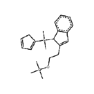 C[Si](C)(C)OCCC1=Cc2ccccc2C1[Si](C)(C)C1=CC=CC1